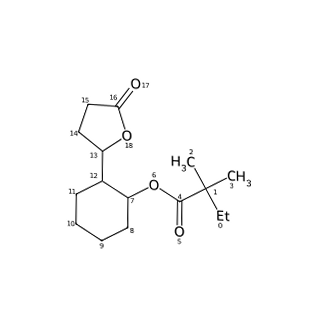 CCC(C)(C)C(=O)OC1CCCCC1C1CCC(=O)O1